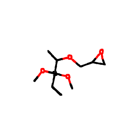 CC[Si](OC)(OC)C(C)OCC1CO1